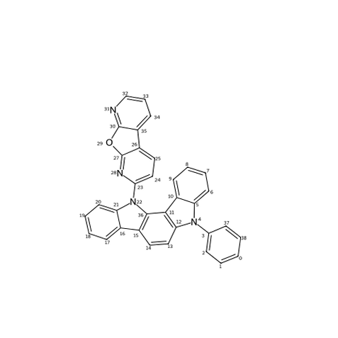 c1ccc(-n2c3ccccc3c3c2ccc2c4ccccc4n(-c4ccc5c(n4)oc4ncccc45)c23)cc1